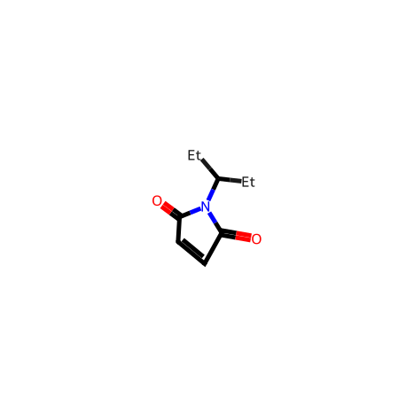 CCC(CC)N1C(=O)C=CC1=O